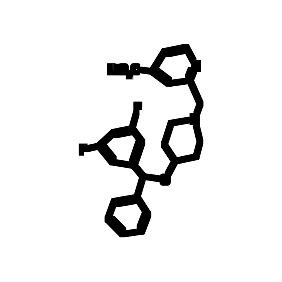 CCOC(=O)c1ccnc(CN2CCC(OC(c3ccccc3)c3cc(F)cc(F)c3)CC2)c1